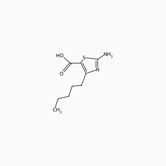 CCCCCc1nc(N)sc1C(=O)O